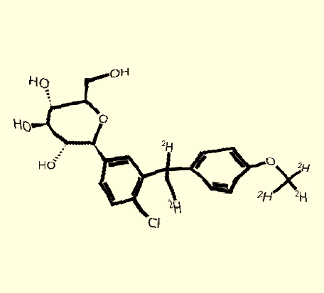 [2H]C([2H])([2H])Oc1ccc(C([2H])([2H])c2cc([C@@H]3O[C@H](CO)[C@@H](O)[C@H](O)[C@H]3O)ccc2Cl)cc1